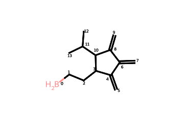 BCCC1C(=C)C(=C)C(=C)C1C(C)C